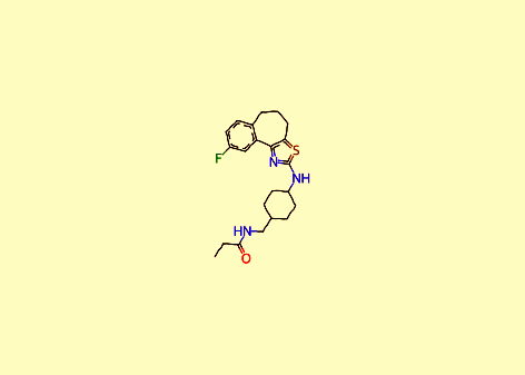 CCC(=O)NCC1CCC(Nc2nc3c(s2)CCCc2ccc(F)cc2-3)CC1